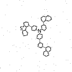 c1cc(-c2ccc(N(c3ccc(-c4cccc5sc6ccccc6c45)cc3)c3cccc(-c4cccc5ccccc45)c3)cc2)cc(-c2cccc3ccccc23)c1